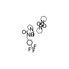 O=C(NCc1ccc(C(F)(F)F)cc1)[C@H]1CCCN1C(=O)[C@H]1CCCN(S(=O)(=O)N2CCCCC2)C1